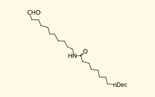 CCCCCCCCCCCCCCCCCC(=O)NCCCCCCCCCC[C]=O